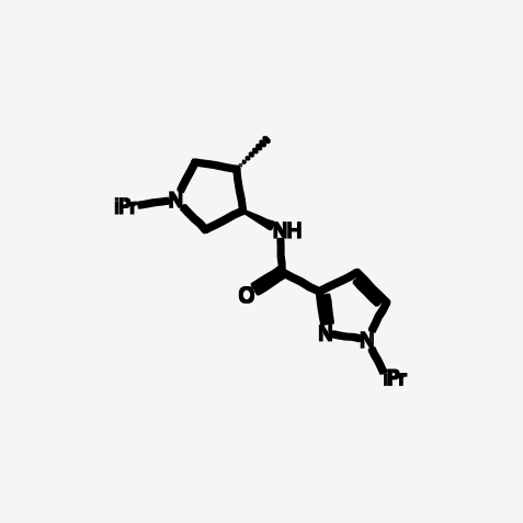 CC(C)N1C[C@H](NC(=O)c2ccn(C(C)C)n2)[C@@H](C)C1